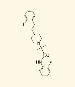 CC(C)(C1OC1Nc1ncccc1F)N1CCN(CCc2ccccc2F)CC1